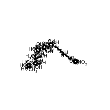 CC1O[C@@H](O[C@H]2C(O)[C@@H](O)C(CO)O[C@H]2OC2[C@@H](O)C(CO)O[C@@H](O[C@@H]3C(O)[C@@H](O[C@H]4C(CO)O[C@@H](O[C@@H]5C(CO)O[C@@H](OCCCCCNC(=O)CCCCC(=O)Oc6ccc([N+](=O)[O-])cc6)[C@@H](O)C5O)[C@@H](O)C4O)OC(CO)[C@@H]3O)[C@H]2C)[C@@H](O)[C@@H](O)C1O